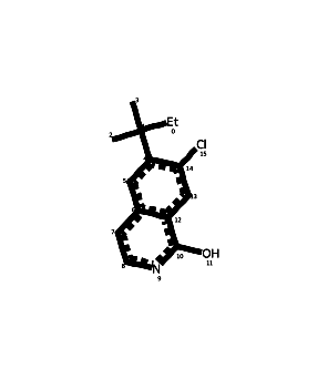 CCC(C)(C)c1cc2ccnc(O)c2cc1Cl